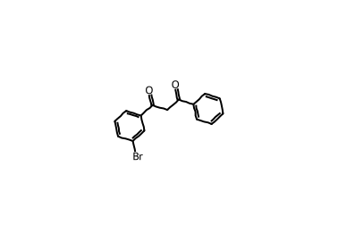 O=C(CC(=O)c1cccc(Br)c1)c1ccccc1